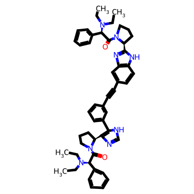 CCN(CC)[C@@H](C(=O)N1CCC[C@H]1c1nc2cc(C#Cc3cccc(-c4[nH]cnc4[C@@H]4CCCN4C(=O)[C@@H](c4ccccc4)N(CC)CC)c3)ccc2[nH]1)c1ccccc1